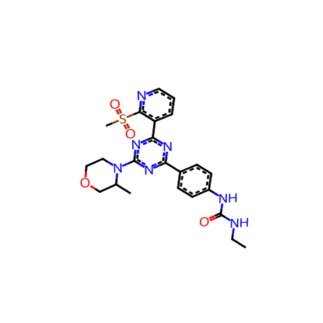 CCNC(=O)Nc1ccc(-c2nc(-c3cccnc3S(C)(=O)=O)nc(N3CCOCC3C)n2)cc1